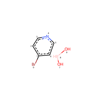 Brc1ccncc1.OBO